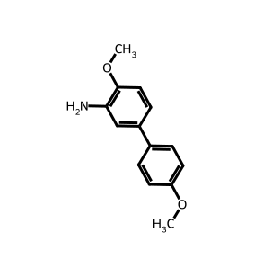 COc1ccc(-c2ccc(OC)c(N)c2)cc1